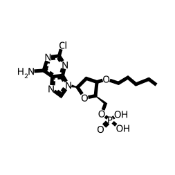 CCCCCOC1C[C@H](n2cnc3c(N)nc(Cl)nc32)O[C@@H]1COP(=O)(O)O